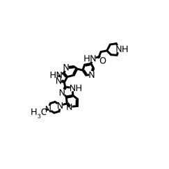 CN1CCN(c2nccc3[nH]c(-c4n[nH]c5ncc(-c6cncc(NC(=O)CC7CCNCC7)c6)cc45)nc23)CC1